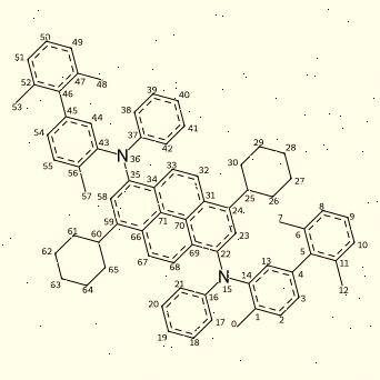 Cc1ccc(-c2c(C)cccc2C)cc1N(c1ccccc1)c1cc(C2CCCCC2)c2ccc3c(N(c4ccccc4)c4cc(-c5c(C)cccc5C)ccc4C)cc(C4CCCCC4)c4ccc1c2c43